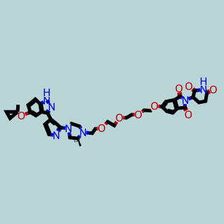 C[C@H]1CN(c2cc(-c3n[nH]c4ccc(OC5(C)CC5)cc34)ccn2)CCN1CCOCCOCCOCCOc1ccc2c(c1)C(=O)N(C1CCC(=O)NC1=O)C2=O